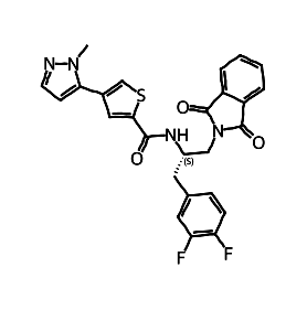 Cn1nccc1-c1csc(C(=O)N[C@@H](Cc2ccc(F)c(F)c2)CN2C(=O)c3ccccc3C2=O)c1